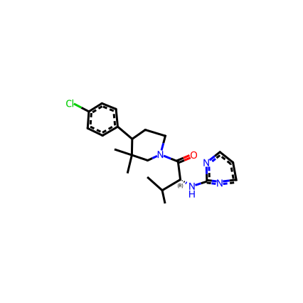 CC(C)[C@@H](Nc1ncccn1)C(=O)N1CCC(c2ccc(Cl)cc2)C(C)(C)C1